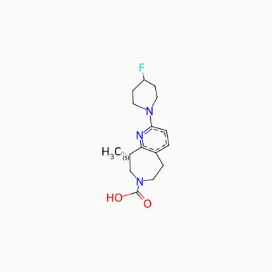 C[C@H]1CN(C(=O)O)CCc2ccc(N3CCC(F)CC3)nc21